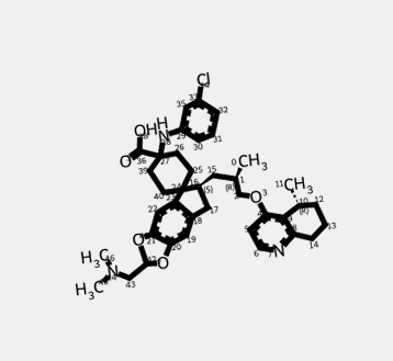 C[C@@H](COc1ccnc2c1[C@H](C)CCC2)C[C@H]1Cc2cc3c(cc2C12CCC(Nc1cccc(Cl)c1)(C(=O)O)CC2)OC(CN(C)C)O3